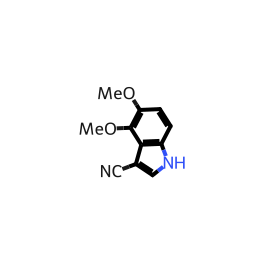 COc1ccc2[nH]cc(C#N)c2c1OC